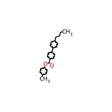 CCCCc1ccc(-c2ccc(C(=O)Oc3ccc(C)cc3)cc2)cc1